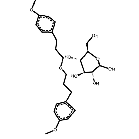 COc1ccc(CCCOCCCc2ccc(OC)cc2)cc1.OC[C@H]1OC(O)[C@H](O)[C@@H](O)[C@@H]1O